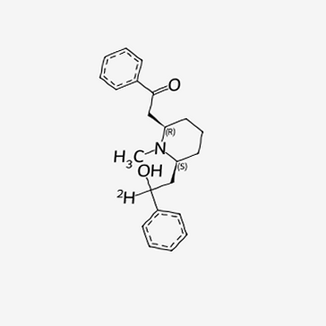 [2H]C(O)(C[C@@H]1CCC[C@H](CC(=O)c2ccccc2)N1C)c1ccccc1